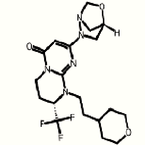 O=c1cc(N2C[C@@H]3CN2CO3)nc2n1CC[C@@H](C(F)(F)F)N2CCC1CCOCC1